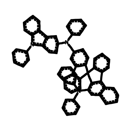 c1ccc(N(c2ccc3c(c2)-c2ccccc2C32c3ccccc3-c3c2c(N(c2ccccc2)c2ccccc2)cc2ccccc32)c2ccc3c(c2)c2ccccc2n3-c2ccccc2)cc1